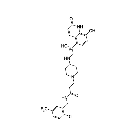 O=C(CCN1CCC(NC[C@H](O)c2ccc(O)c3[nH]c(=O)ccc23)CC1)NCc1cc(C(F)(F)F)ccc1Cl